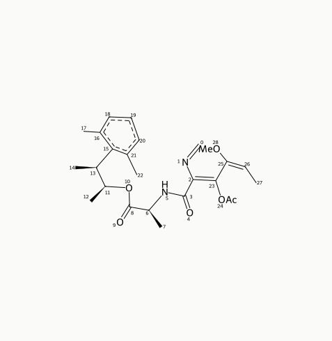 C=N/C(C(=O)N[C@@H](C)C(=O)O[C@@H](C)[C@@H](C)c1c(C)cccc1C)=C(OC(C)=O)\C(=C/C)OC